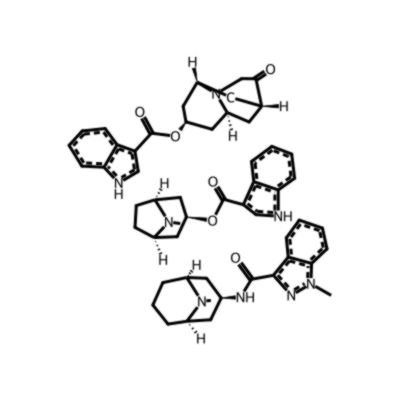 CN1[C@@H]2CCC[C@H]1C[C@@H](NC(=O)c1nn(C)c3ccccc13)C2.CN1[C@@H]2CC[C@H]1C[C@@H](OC(=O)c1c[nH]c3ccccc13)C2.O=C(O[C@@H]1C[C@@H]2C[C@@H]3C[C@H](C1)N2CC3=O)c1c[nH]c2ccccc12